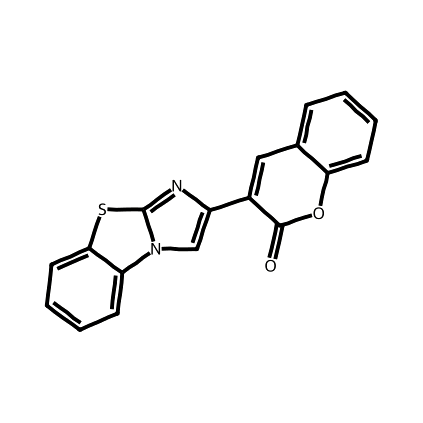 O=c1oc2ccccc2cc1-c1cn2c(n1)sc1ccccc12